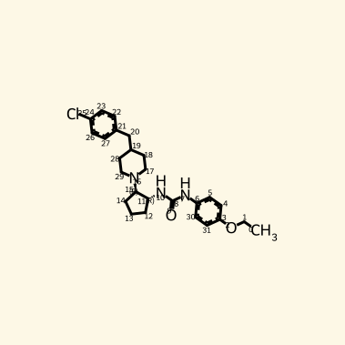 CCOc1ccc(NC(=O)N[C@@H]2CCC[C@H]2N2CCC(Cc3ccc(Cl)cc3)CC2)cc1